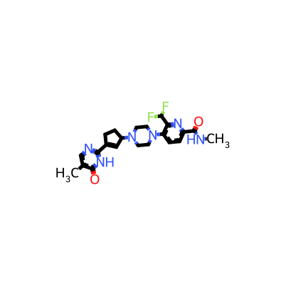 CNC(=O)c1ccc(N2CCN(C3C=C(c4ncc(C)c(=O)[nH]4)CC3)CC2)c(C(F)F)n1